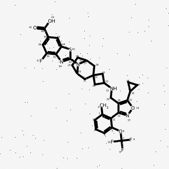 Cc1cccc(OC(F)(F)F)c1-c1noc(C2CC2)c1CNC1CC2(C1)CC1CCC(C2)N1c1nc2c(F)cc(C(=O)O)cc2s1